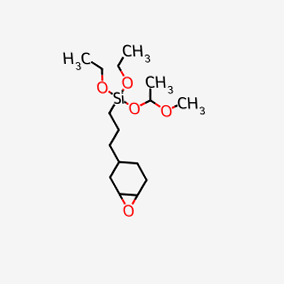 CCO[Si](CCCC1CCC2OC2C1)(OCC)OC(C)OC